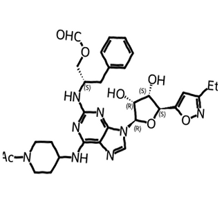 CCc1cc([C@H]2O[C@@H](n3cnc4c(NC5CCN(C(C)=O)CC5)nc(N[C@H](COC=O)Cc5ccccc5)nc43)[C@H](O)[C@@H]2O)on1